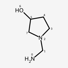 NCN1CCC(O)C1